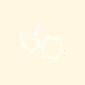 CCC1(C(=O)Cl)CCCCC1